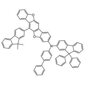 CC1(C)c2ccccc2-c2ccc(-c3c4oc5cc(N(c6ccc(-c7ccccc7)cc6)c6ccc7c(c6)C(c6ccccc6)(c6ccccc6)c6ccccc6-7)ccc5c4cc4oc5ccccc5c34)cc21